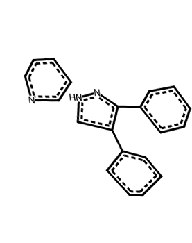 c1ccc(-c2c[nH]nc2-c2ccccc2)cc1.c1ccncc1